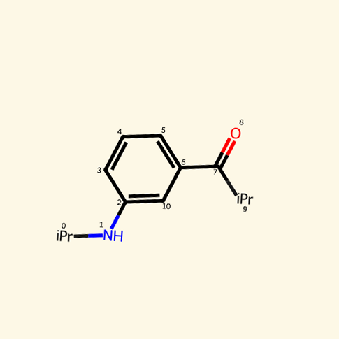 CC(C)Nc1cccc(C(=O)C(C)C)c1